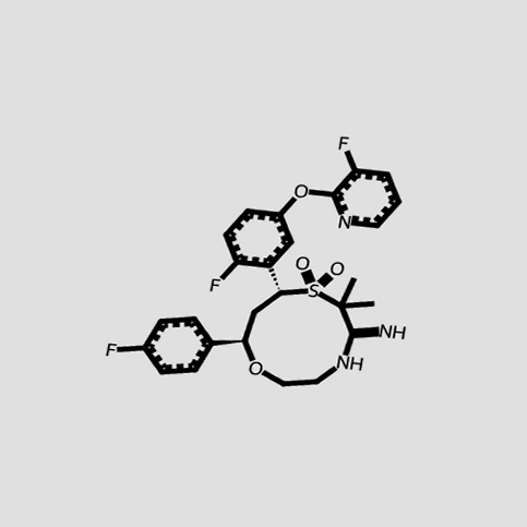 CC1(C)C(=N)NCCO[C@@H](c2ccc(F)cc2)C[C@H](c2cc(Oc3ncccc3F)ccc2F)S1(=O)=O